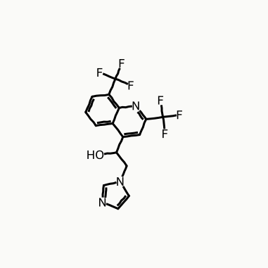 OC(Cn1ccnc1)c1cc(C(F)(F)F)nc2c(C(F)(F)F)cccc12